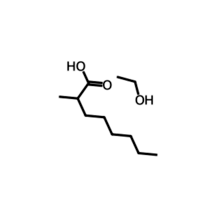 CCCCCCC(C)C(=O)O.CCO